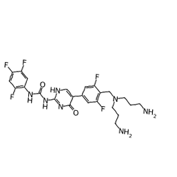 NCCCN(CCCN)Cc1c(F)cc(-c2c[nH]c(NC(=O)Nc3cc(F)c(F)cc3F)nc2=O)cc1F